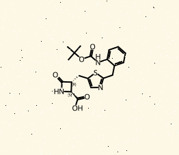 CC(C)(C)OC(=O)Nc1ccccc1Cc1ncc(C[C@H]2C(=O)N[C@@H]2C(=O)O)s1